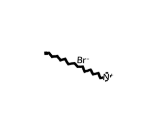 C=CCCCCCCCCCCCCC[N+](C)(C)C.[Br-]